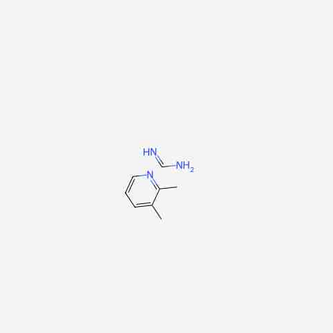 Cc1cccnc1C.N=CN